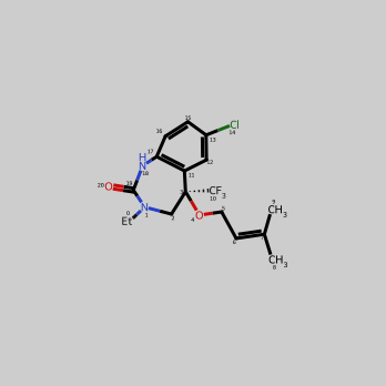 CCN1C[C@@](OCC=C(C)C)(C(F)(F)F)c2cc(Cl)ccc2NC1=O